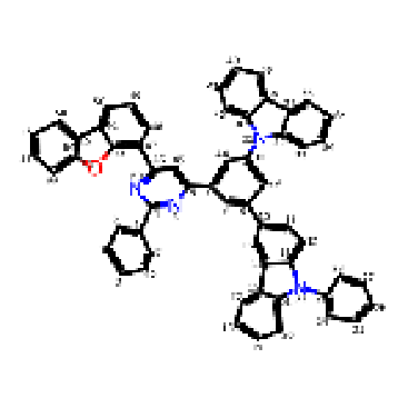 c1ccc(-c2nc(-c3cc(-c4ccc5c(c4)c4ccccc4n5-c4ccccc4)cc(-n4c5ccccc5c5ccccc54)c3)cc(-c3cccc4c3oc3ccccc34)n2)cc1